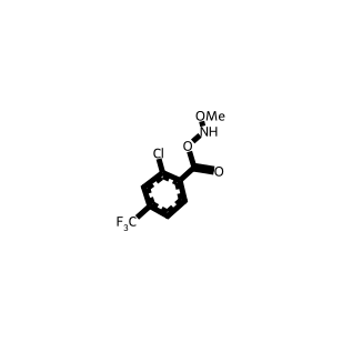 CONOC(=O)c1ccc(C(F)(F)F)cc1Cl